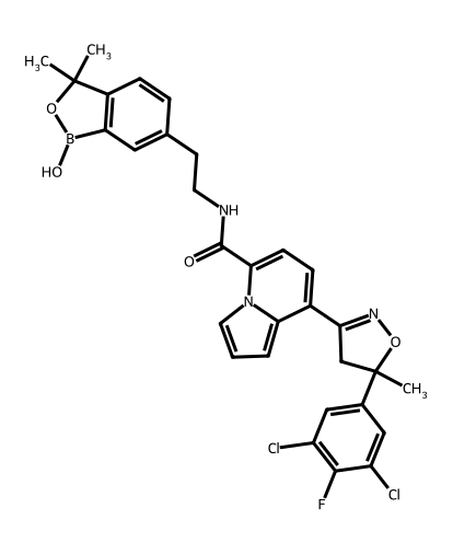 CC1(C)OB(O)c2cc(CCNC(=O)c3ccc(C4=NOC(C)(c5cc(Cl)c(F)c(Cl)c5)C4)c4cccn34)ccc21